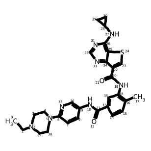 CCN1CCN(c2ccc(NC(=O)c3ccc(C)c(NC(=O)c4csc5c(NC6CC6)ncnc45)c3)cn2)CC1